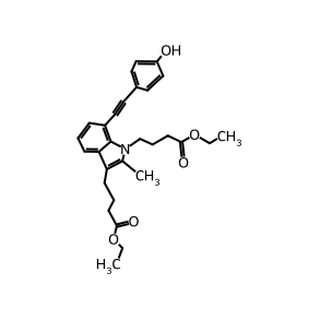 CCOC(=O)CCCc1c(C)n(CCCC(=O)OCC)c2c(C#Cc3ccc(O)cc3)cccc12